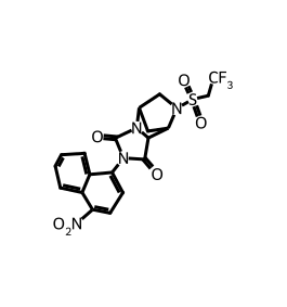 O=C1C2C3CC(CN3S(=O)(=O)CC(F)(F)F)N2C(=O)N1c1ccc([N+](=O)[O-])c2ccccc12